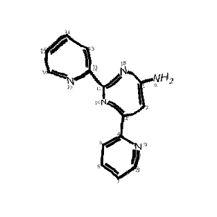 Nc1cc(-c2ccccn2)nc(-c2ccccn2)n1